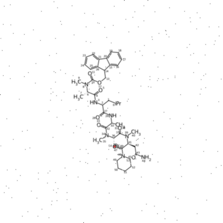 CC(C)CC(NC(=O)[C@H](C)N(C)C(=O)OCC1c2ccccc2-c2ccccc21)C(=O)NC(C)C(=O)N(C)[C@H](C(=O)N(C)[C@@H](CC(N)=O)C(=O)N1CCCCC1)C(C)C